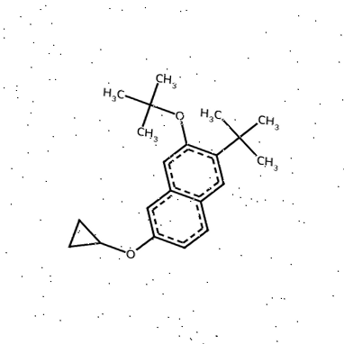 CC(C)(C)Oc1cc2cc(OC3CC3)ccc2cc1C(C)(C)C